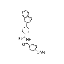 CC[C@H](NC(=O)c1ccc(OC)nc1)[C@H]1CC[C@H](c2cnc3ccccc3c2)CC1